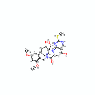 COc1ccc(CNC(=O)C2CC(=O)c3cnc(SC)nc3N2C2(CO)CCCCC2)c(OC)c1